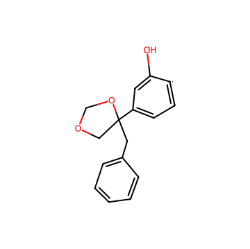 Oc1[c]ccc(C2(Cc3ccccc3)COCO2)c1